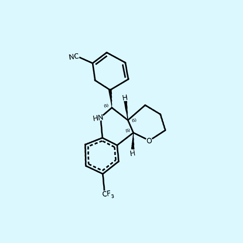 N#CC1=CC=CC([C@@H]2Nc3ccc(C(F)(F)F)cc3[C@H]3OCCC[C@H]32)C1